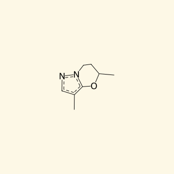 Cc1cnn2c1OC(C)CC2